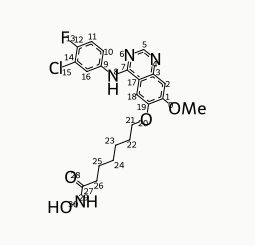 COc1cc2ncnc(Nc3ccc(F)c(Cl)c3)c2cc1OCCCCCCC(=O)NO